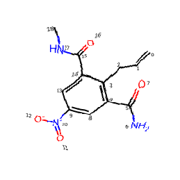 C=CCc1c(C(N)=O)cc([N+](=O)[O-])cc1C(=O)NC